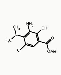 COC(=O)c1cc(Cl)c(N(C)C)c(N)c1O